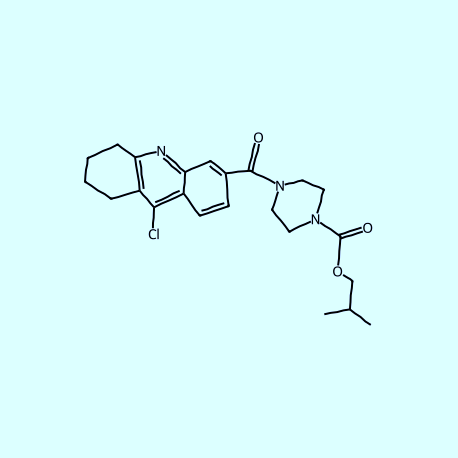 CC(C)COC(=O)N1CCN(C(=O)c2ccc3c(Cl)c4c(nc3c2)CCCC4)CC1